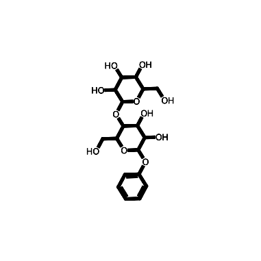 OCC1OC(OC2C(CO)OC(Oc3ccccc3)C(O)C2O)C(O)C(O)C1O